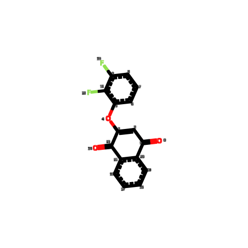 O=C1C=C(Oc2cccc(F)c2F)C(=O)c2ccccc21